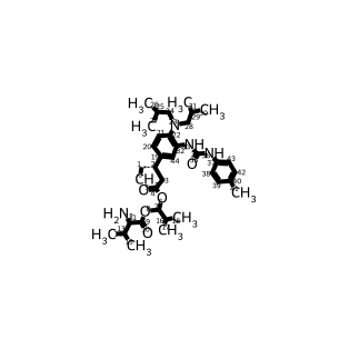 CC[C@@H](CC(=O)OC(OC(=O)C(N)C(C)C)C(C)C)c1ccc(N(CC(C)C)CC(C)C)c(NC(=O)Nc2ccc(C)cc2)c1